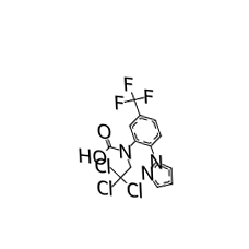 O=C(O)N(CC(Cl)(Cl)Cl)c1cc(C(F)(F)F)ccc1-n1cccn1